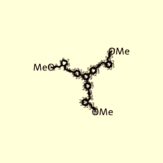 CO/C=C/Cc1ccccc1CC#Cc1ccc(-c2cc(-c3ccc(C#CCc4ccccc4C/C=C/OC)cc3)cc(-c3ccc(C#CCc4ccccc4C/C=C/OC)cc3)c2)cc1